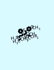 COc1ccc([C@H]2Sc3ccccc3N(CCN(C)C(C)C)C(=O)[C@H]2OC(=O)C(C)(C)C)cc1